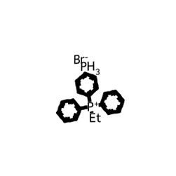 CC[P+](c1ccccc1)(c1ccccc1)c1ccccc1.P.[Br-]